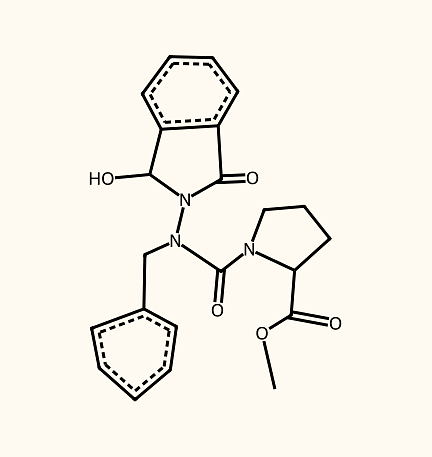 COC(=O)C1CCCN1C(=O)N(Cc1ccccc1)N1C(=O)c2ccccc2C1O